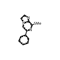 CSc1nc(-c2ccccc2)cn2ccnc12